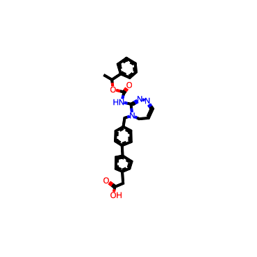 CC(OC(=O)NC1=NN=C=CCN1Cc1ccc(-c2ccc(CC(=O)O)cc2)cc1)c1ccccc1